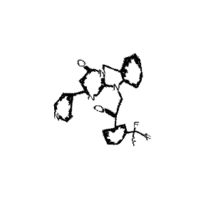 O=C(CN1c2ccccc2Cn2c1nc(-c1ccncc1)cc2=O)c1cccc(C(F)(F)F)c1